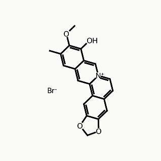 COc1c(C)cc2cc3c4cc5c(cc4cc[n+]3cc2c1O)OCO5.[Br-]